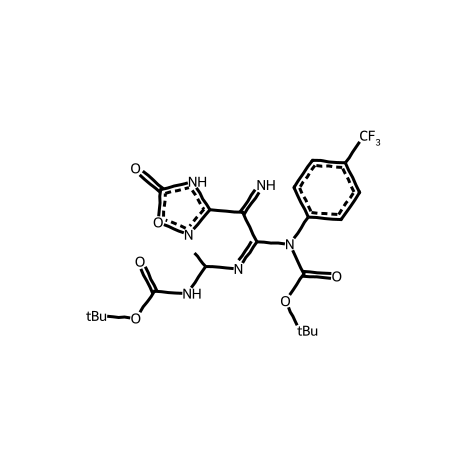 CC(/N=C(\C(=N)c1noc(=O)[nH]1)N(C(=O)OC(C)(C)C)c1ccc(C(F)(F)F)cc1)NC(=O)OC(C)(C)C